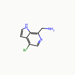 NCc1ncc(Br)c2cc[nH]c12